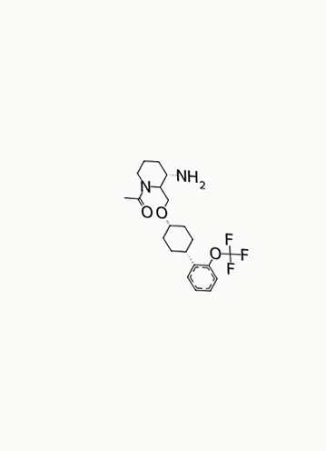 CC(=O)N1CCC[C@H](N)C1CO[C@H]1CC[C@@H](c2ccccc2OC(F)(F)F)CC1